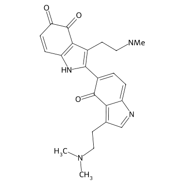 CNCCc1c(C2=CC=C3N=CC(CCN(C)C)=C3C2=O)[nH]c2c1C(=O)C(=O)C=C2